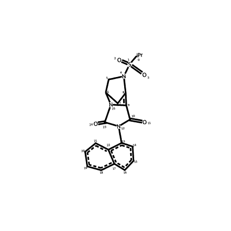 CC(C)S(=O)(=O)N1CC2CC1=C1C(=O)N(c3cccc4ccccc34)C(=O)N12